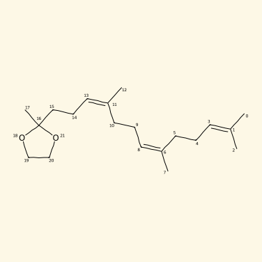 CC(C)=CCCC(C)=CCCC(C)=CCCC1(C)OCCO1